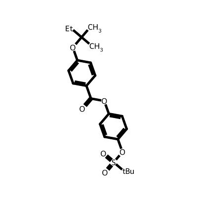 CCC(C)(C)Oc1ccc(C(=O)Oc2ccc(OS(=O)(=O)C(C)(C)C)cc2)cc1